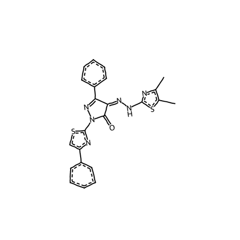 Cc1nc(N/N=C2\C(=O)N(c3nc(-c4ccccc4)cs3)N=C2c2ccccc2)sc1C